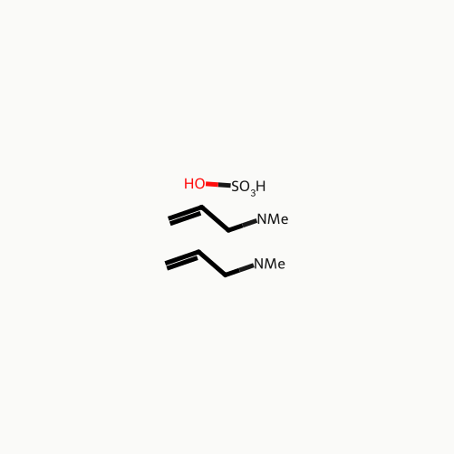 C=CCNC.C=CCNC.O=S(=O)(O)O